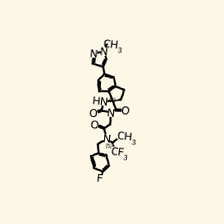 C[C@H](N(Cc1ccc(F)cc1)C(=O)CN1C(=O)N[C@@]2(CCc3cc(-c4cnn(C)c4)ccc32)C1=O)C(F)(F)F